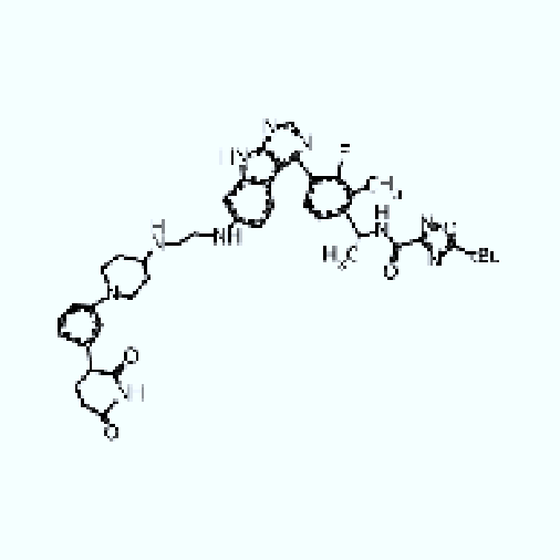 Cc1c([C@@H](C)NC(=O)c2noc(C(C)(C)C)n2)ccc(-c2ncnc3[nH]c4cc(NCCNC5CCN(c6cccc(C7CCC(=O)NC7=O)c6)CC5)ccc4c23)c1F